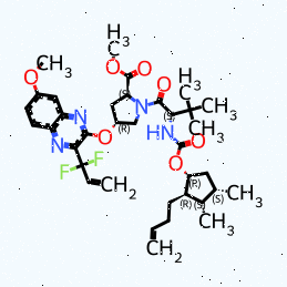 C=CCC[C@@H]1[C@@H](C)[C@@H](C)C[C@H]1OC(=O)N[C@H](C(=O)N1C[C@H](Oc2nc3cc(OC)ccc3nc2C(F)(F)C=C)C[C@H]1C(=O)OC)C(C)(C)C